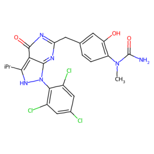 CC(C)c1[nH]n(-c2c(Cl)cc(Cl)cc2Cl)c2nc(Cc3ccc(N(C)C(N)=O)c(O)c3)nc(=O)c1-2